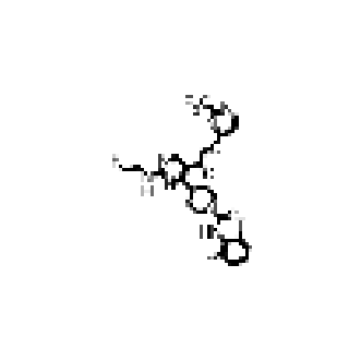 O=C(COc1ccnc(C(F)(F)F)n1)c1cnc(NCCF)nc1C1CCN(C(=O)Nc2c(F)cccc2F)CC1